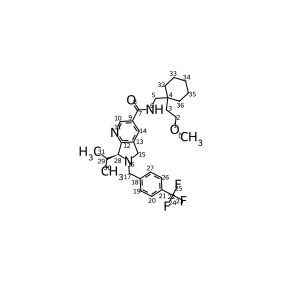 COCCC1(CNC(=O)c2cnc3c(c2)CN(Cc2ccc(C(F)(F)F)cc2)[C@H]3C(C)C)CCCCC1